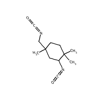 CC1(CN=C=O)CCC(C)(C)C(N=C=O)C1